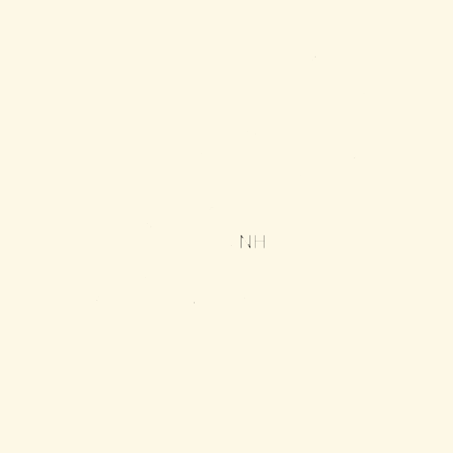 c1ccc2c(c1)CNC(CC1CCCCC1)C2